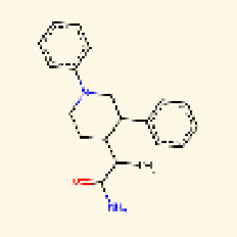 CC(C(N)=O)C1CCN(c2ccccc2)CC1c1ccccc1